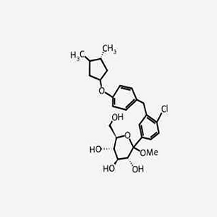 COC1(c2ccc(Cl)c(Cc3ccc(OC4CC(C)[C@H](C)C4)cc3)c2)O[C@H](CO)[C@@H](O)[C@H](O)[C@H]1O